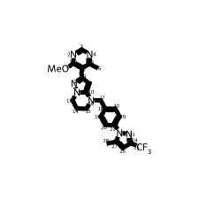 COc1ncnc(C)c1-c1cc2n(n1)CCCN2Cc1ccc(-n2nc(C(F)(F)F)cc2C)cc1